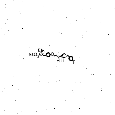 CCOC(=O)[C@H](Cc1ccc(OCCN[C@H]2C3CN(Cc4ccc(F)cc4)C[C@@H]32)cc1)OCC